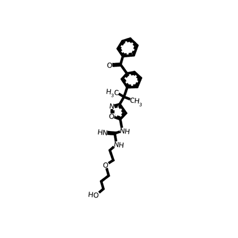 CC(C)(c1cccc(C(=O)c2ccccc2)c1)c1cc(NC(=N)NCCOCCCO)on1